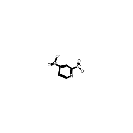 O=[N+]([O-])c1[c]c([N+](=O)[O-])ncc1